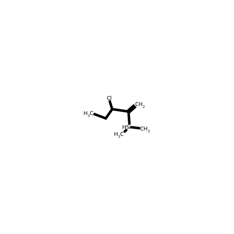 C=C(C(Cl)CC)[SiH](C)C